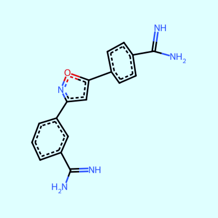 N=C(N)c1ccc(-c2cc(-c3cccc(C(=N)N)c3)no2)cc1